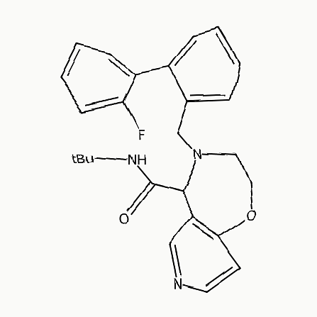 CC(C)(C)NC(=O)C1c2cnccc2OCCN1Cc1ccccc1-c1ccccc1F